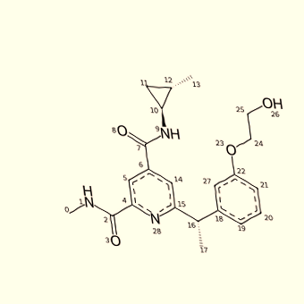 CNC(=O)c1cc(C(=O)N[C@H]2C[C@@H]2C)cc([C@@H](C)c2cccc(OCCO)c2)n1